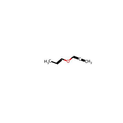 C=C=COC=CC